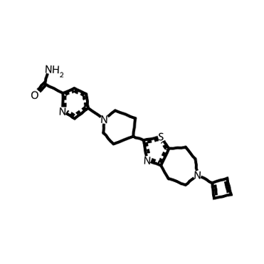 NC(=O)c1ccc(N2CCC(c3nc4c(s3)CCN(C3=CC=C3)CC4)CC2)cn1